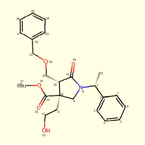 C[C@H](c1ccccc1)N1C[C@@](CCO)(C(=O)OC(C)(C)C)[C@H](COCc2ccccc2)C1=O